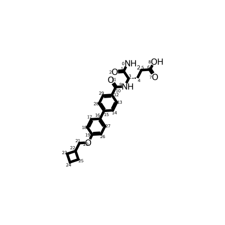 NC(=O)[C@H](CCC(=O)O)NC(=O)c1ccc(-c2ccc(OCC3CCC3)cc2)cc1